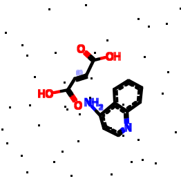 Nc1ccnc2ccccc12.O=C(O)/C=C/C(=O)O